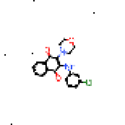 O=C1C(Nc2cccc(Cl)c2)=C(N2CCOCC2)C(=O)c2ccccc21